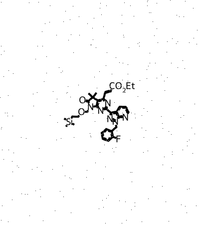 CCOC(=O)C=Cc1nc(-c2nn(Cc3ccccc3F)c3ncccc23)nc2c1C(C)(C)C(=O)N2COCC[Si](C)(C)C